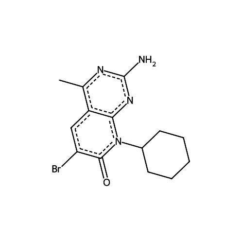 Cc1nc(N)nc2c1cc(Br)c(=O)n2C1CCCCC1